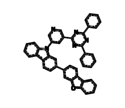 c1ccc(-c2nc(-c3ccccc3)nc(-c3cncc(-n4c5ccccc5c5ccc(-c6ccc7c(c6)oc6ccccc67)cc54)c3)n2)cc1